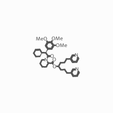 COc1cc([C@@H](C(=O)N2CCCCC2C(=O)OC(CCCc2cccnc2)CCCc2cccnc2)[C@@H]2C=CCCC2)cc(OC)c1OC